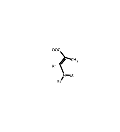 CCN(/C=C(\C)C(=O)[O-])CC.[K+]